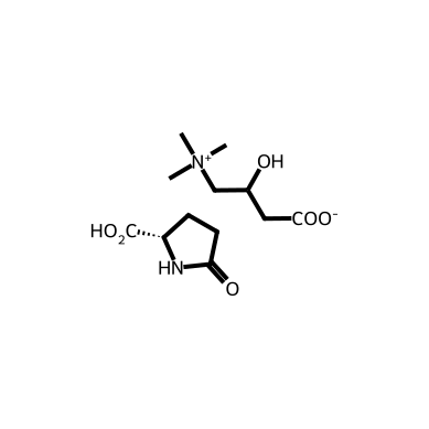 C[N+](C)(C)CC(O)CC(=O)[O-].O=C1CC[C@@H](C(=O)O)N1